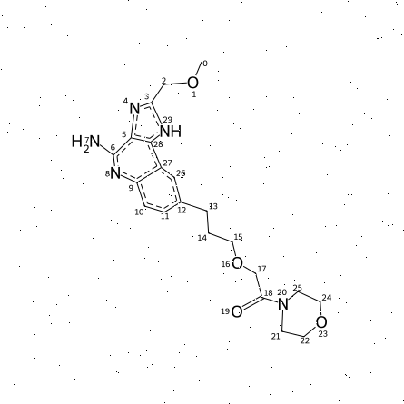 COCc1nc2c(N)nc3ccc(CCCOCC(=O)N4CCOCC4)cc3c2[nH]1